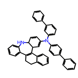 C1=CC2Nc3ccccc3C3=C(c4ccccc4CC3)C2C=C1N(c1ccc(-c2ccccc2)cc1)c1cccc(-c2ccccc2)c1